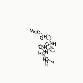 COCC(=O)N1CCCC(NC(=O)[C@@H]2CCCN2c2nc(Nc3cc(C4CC4)[nH]n3)c3cccn3n2)C1